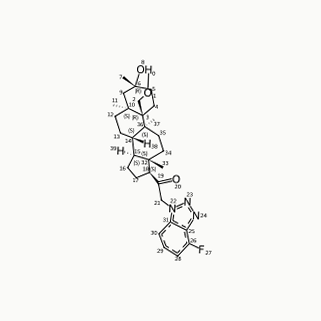 COC[C@]12CC[C@@](C)(O)C[C@]1(C)CC[C@H]1[C@@H]3CC[C@H](C(=O)Cn4nnc5c(F)cccc54)[C@@]3(C)CC[C@@]12C